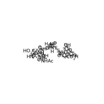 CC(=O)N[C@@H](C(=O)N[C@H](Cc1c[nH]cn1)C(=O)N[C@H](CCC(=O)O)C(=O)NCCOCC(=O)N[C@H](CCCCNC(=O)c1ccc(C(=O)O)c(-c2c3ccc(=O)cc-3oc3cc(O)ccc23)c1)C(N)=O)[C@H](C)O